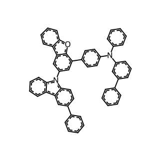 c1ccc(-c2cccc(N(c3ccccc3)c3ccc(-c4cc(-n5c6ccccc6c6cc(-c7ccccc7)ccc65)cc5c4oc4ccccc45)cc3)c2)cc1